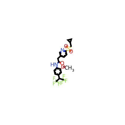 COc1cc(C(C(F)(F)F)C(F)(F)F)ccc1NC(=O)Cc1ccc(S(=O)(=O)CC2CC2)nc1